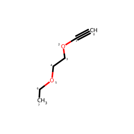 C#COCCOCC